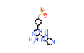 Nc1ncc(-c2ccc(C[SH](=O)=O)cc2)nc1-c1nc2ccncc2[nH]1